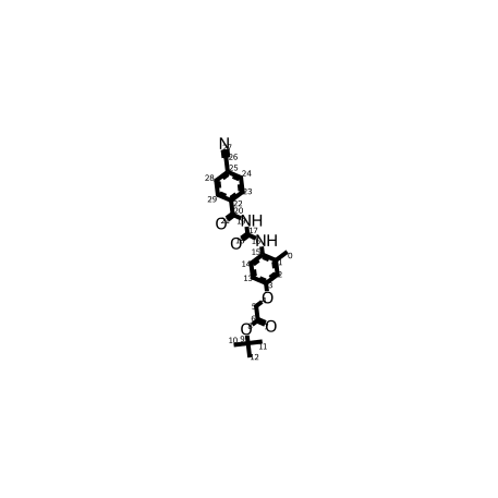 Cc1cc(OCC(=O)OC(C)(C)C)ccc1NC(=O)NC(=O)c1ccc(C#N)cc1